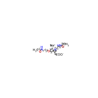 C=CC(=O)NCCCCOc1ccc2c(c1)c(CC(=O)[O-])cn2CCCCNC(=O)C=C.[Na+]